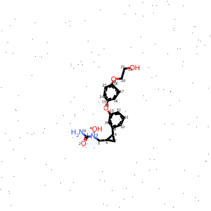 NC(=O)N(O)CC1CC1c1cccc(Oc2ccc(OCCO)cc2)c1